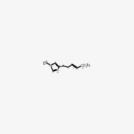 CCOC(=O)/C=C/CCc1cn(CC)cn1